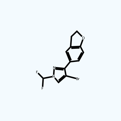 FC(F)n1cc(Br)c(-c2ccc3c(c2)CCO3)n1